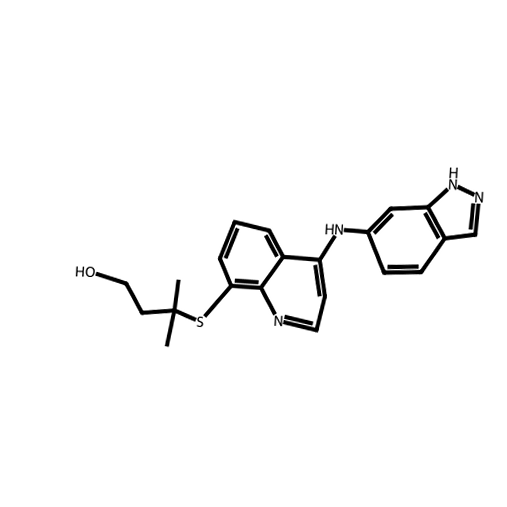 CC(C)(CCO)Sc1cccc2c(Nc3ccc4cn[nH]c4c3)ccnc12